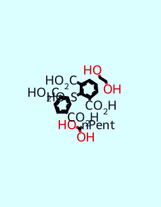 CCCCCC(O)O.O=C(O)c1ccc(C(=O)O)cc1.O=C(O)c1cccc(C(=O)O)c1S(=O)(=O)O.OCCO